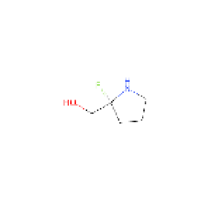 OC[C@]1(F)CCCN1